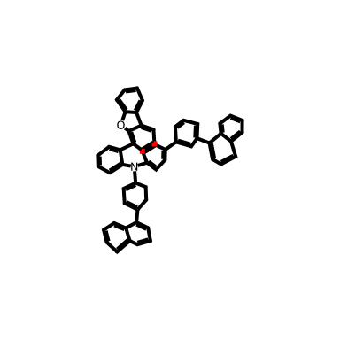 c1cc2c(oc3ccccc32)c(-c2ccccc2N(C2=CC=C(c3cccc4ccccc34)CC2)c2ccc(-c3cccc(-c4cccc5ccccc45)c3)cc2)c#1